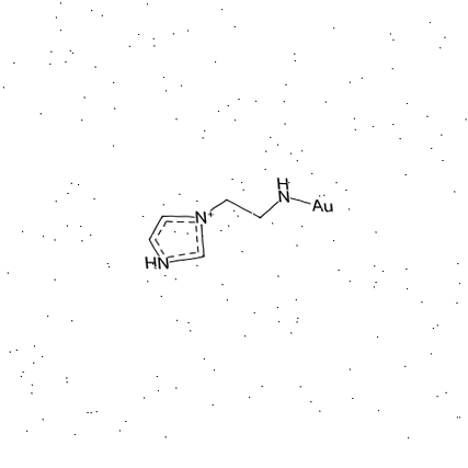 [Au][NH]CC[n+]1cc[nH]c1